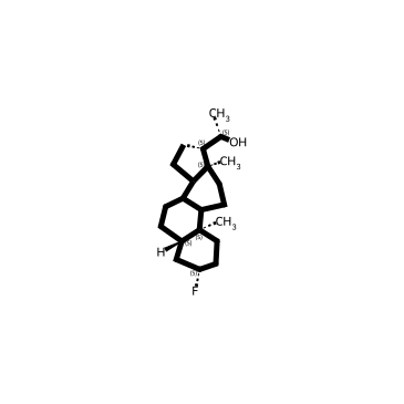 C[C@H](O)[C@H]1CCC2C3CC[C@H]4C[C@@H](F)CC[C@]4(C)C3CC[C@@]21C